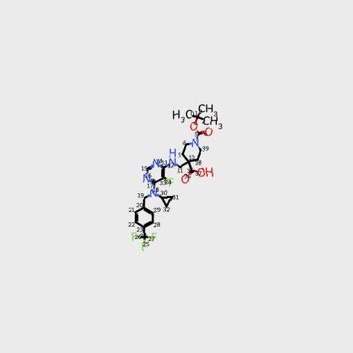 CC(C)(C)OC(=O)N1CCC(CNc2ncnc(N(Cc3ccc(C(F)(F)F)cc3)C3CC3)c2F)(C(=O)O)CC1